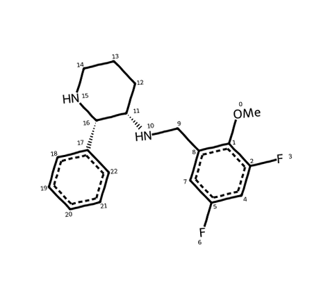 COc1c(F)cc(F)cc1CN[C@H]1CCCN[C@H]1c1ccccc1